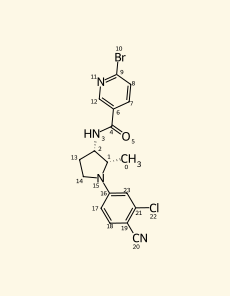 C[C@H]1[C@@H](NC(=O)c2ccc(Br)nc2)CCN1c1ccc(C#N)c(Cl)c1